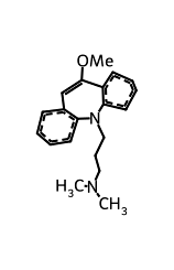 COC1=Cc2ccccc2N(CCCN(C)C)c2ccccc21